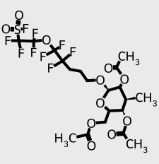 CC(=O)OCC1O[C@@H](OCCCC(F)(F)C(F)(F)OC(F)(F)C(F)(F)S(=O)(=O)F)C(OC(C)=O)[C@@H](C)[C@@H]1OC(C)=O